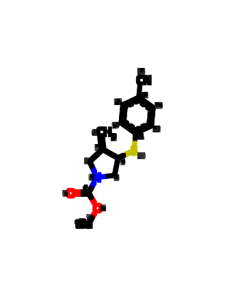 C=C1CN(C(=O)OC(C)(C)C)CC1Sc1ccc(C#N)cc1